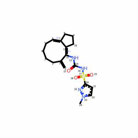 C=C1CCCC/C=C2/CCC/C2=C/1NC(=O)NS(=O)(=O)c1ccn(C)n1